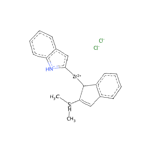 C[SiH](C)C1=Cc2ccccc2[CH]1[Zr+2][c]1cc2ccccc2[nH]1.[Cl-].[Cl-]